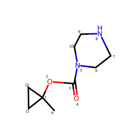 CC1(OC(=O)N2CCNCC2)CC1